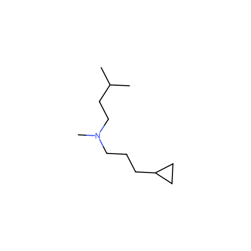 CC(C)CCN(C)CCCC1CC1